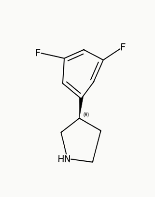 Fc1cc(F)cc([C@H]2CCNC2)c1